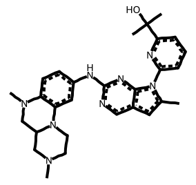 Cc1cc2cnc(Nc3ccc4c(c3)N3CCN(C)CC3CN4C)nc2n1-c1cccc(C(C)(C)O)n1